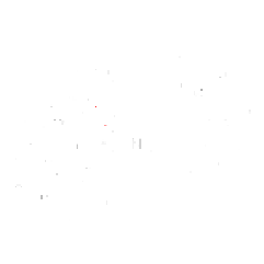 Cc1cccc2ccc(N(c3ccc(C(C)(C)C)cc3)c3ccc4c(c3)-c3c(ccc5ccccc35)C4(C)C)c(-c3cccc4c3-c3ccccc3C4(C)C)c12